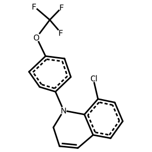 FC(F)(F)Oc1ccc(N2CC=Cc3cccc(Cl)c32)cc1